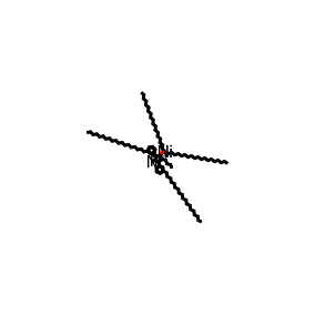 CCCCCCCCCCCCCCCCCCCc1cccc(C2=C(C)C(CCCC)=C(c3cccc(CCCCCCCCCCCCCCCCCCC)c3)[N+]2=[N-])c1.CCCCCCCCCCCCCCCCCC[CH2][Ni][CH2]CCCCCCCCCCCCCCCCCC